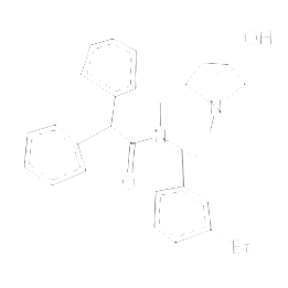 CCc1cccc([C@@H](CN2CC[C@H](O)C2)N(C)C(=O)C(c2ccccc2)c2ccccc2)c1